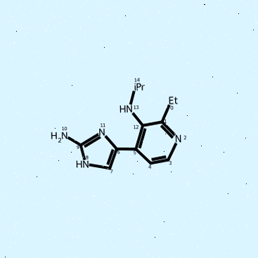 CCc1nccc(-c2c[nH]c(N)n2)c1NC(C)C